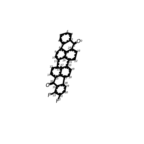 O=C1c2ccccc2-c2ccc3c4ccc5c6c(ccc(c7ccc1c2c37)c64)-c1ccc(F)c(F)c1C5=O